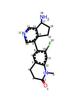 CN1C(=O)CCc2cc(-c3cncc4c3CCC4N)c(F)cc21